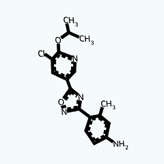 Cc1cc(N)ccc1-c1noc(-c2cnc(OC(C)C)c(Cl)c2)n1